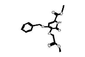 COC(=O)COc1c(OCc2ccccc2)cc(C(=O)OC)[nH]c1=O